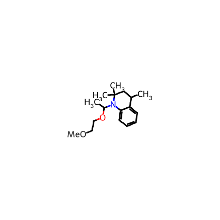 COCCOC(C)N1c2ccccc2C(C)CC1(C)C